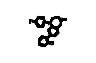 CN1CCN(c2ccc(F)cc2)c2cc(-n3ccccc3=O)ccc2C1